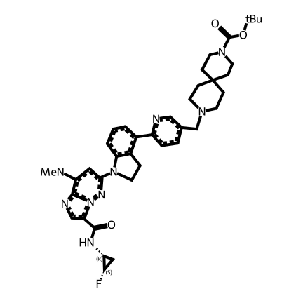 CNc1cc(N2CCc3c(-c4ccc(CN5CCC6(CC5)CCN(C(=O)OC(C)(C)C)CC6)cn4)cccc32)nn2c(C(=O)N[C@@H]3C[C@@H]3F)cnc12